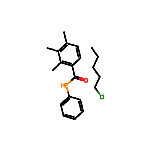 CCCCCCl.Cc1ccc(C(=O)Pc2ccccc2)c(C)c1C